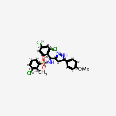 COc1ccc(C2CC(C(NS(=O)(=O)c3cccc(Cl)c3C)c3ccc(Cl)cc3Cl)=NN2)cc1